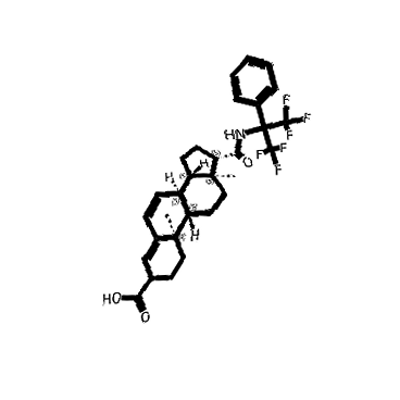 C[C@]12CC[C@H]3[C@@H](C=CC4=CC(C(=O)O)CC[C@@]43C)[C@@H]1CC[C@@H]2C(=O)NC(c1ccccc1)(C(F)(F)F)C(F)(F)F